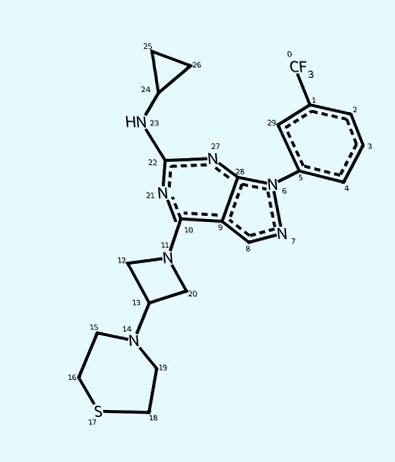 FC(F)(F)c1cccc(-n2ncc3c(N4CC(N5CCSCC5)C4)nc(NC4CC4)nc32)c1